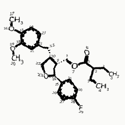 CCC(CC)C(=O)OC[C@H]1[C@@H](Cc2ccc(OC)c(OC)c2)CO[C@@H]1c1ccc(F)cc1